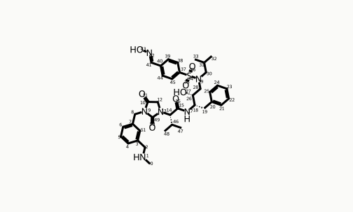 CNCc1cccc(CN2C(=O)CN([C@H](C(=O)N[C@@H](Cc3ccccc3)[C@H](O)CN(CC(C)C)S(=O)(=O)c3ccc(/C=N/O)cc3)C(C)C)C2=O)c1